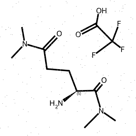 CN(C)C(=O)CC[C@H](N)C(=O)N(C)C.O=C(O)C(F)(F)F